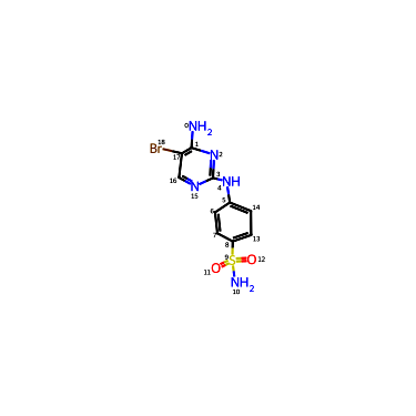 Nc1nc(Nc2ccc(S(N)(=O)=O)cc2)ncc1Br